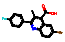 Cc1c(-c2ccc(F)cc2)nc2ccc(Br)cc2c1C(=O)O